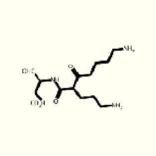 NCCCCC(=O)C(CCCN)C(=O)N[C@H]([C]=O)CC(=O)O